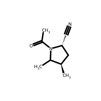 CC(=O)N1C(C)[C@H](C)C[C@H]1C#N